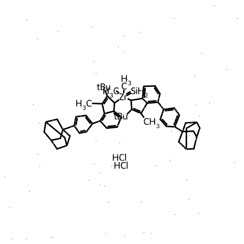 CC1=C(C(C)(C)C)[CH]([Zr]([CH3])([CH3])(=[SiH2])[CH]2C(C(C)(C)C)=C(C)c3c(-c4ccc(C56CC7CC(CC(C7)C5)C6)cc4)cccc32)c2cccc(-c3ccc(C45CC6CC(CC(C6)C4)C5)cc3)c21.Cl.Cl